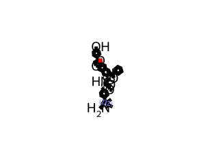 C=C/C=C(\C(C)=C(\C)N)c1ccc(C[C@H](NC(=O)[C@@H]2Cc3cc4c(cc3CN2C(=O)c2ccccc2)O[C@@H](c2ccc(O)cc2)CO4)C(=O)OC)cc1